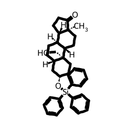 C[C@]12CC[C@H]3[C@@H](CC[C@H]4C[C@@H](O[Si](c5ccccc5)(c5ccccc5)c5ccccc5)CC[C@@]43CO)[C@@H]1CCC2=O